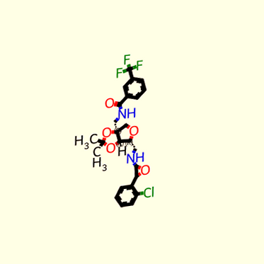 CC1(C)O[C@@H]2[C@@H](CNC3OC3c3ccccc3Cl)OC[C@]2(CNC(=O)c2cccc(C(F)(F)F)c2)O1